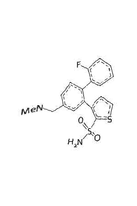 CNCc1ccc(-c2ccccc2F)c(-c2ccsc2S(N)(=O)=O)c1